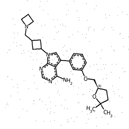 CC1(C)CC[C@H](COc2cccc(-c3cn(C4CC(CN5CCC5)C4)c4ncnc(N)c34)c2)O1